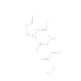 Cc1cnn2c1c(=O)[nH]c1c(F)c(CBr)ccc12